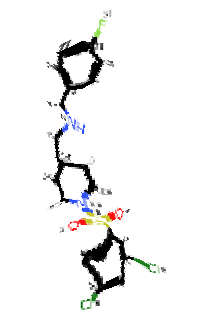 O=S(=O)(c1cc(Cl)cc(Cl)c1)N1CCC(CNCc2ccc(F)cc2)CC1